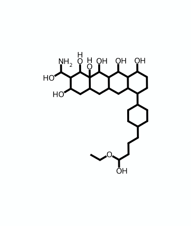 CCOC(O)CCCC1CCC(C2CCC(O)C3C(O)C4C(CC23)CC2CC(O)C(C(N)O)C(O)C2(O)C4O)CC1